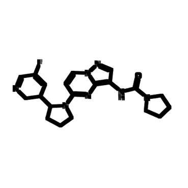 O=C(Nc1cnn2ccc(N3CCCC3C3C=C(F)C=NC3)nc12)N1CCCC1